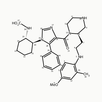 COc1ccc(NCC[C@@H]2CNCCN2C(=O)c2ncn([C@H]3CCCC[C@@H]3NC(=O)O)c2-c2ccccc2)c(C)c1